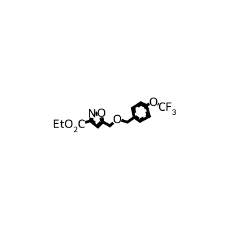 CCOC(=O)c1cc(COCc2ccc(OC(F)(F)F)cc2)on1